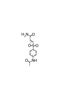 CC(=O)Nc1ccc(S(=O)(=O)/C=C/C(N)=O)cc1